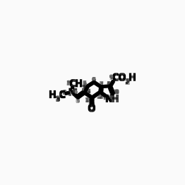 CN(C)/C=C1\CCc2c(C(=O)O)c[nH]c2C1=O